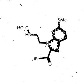 CSc1ccc2cc(C(=O)C(C)C)n(CCNC(=O)O)c2c1